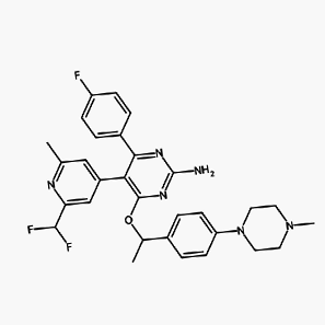 Cc1cc(-c2c(OC(C)c3ccc(N4CCN(C)CC4)cc3)nc(N)nc2-c2ccc(F)cc2)cc(C(F)F)n1